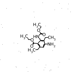 CCOC(=O)Nc1c(CC)c(N)cc(CC)c1C(=O)OCC